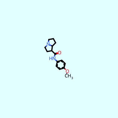 COc1ccc(NC(=O)C2CCN3CCCC23)cc1